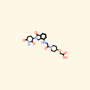 O=C(O)COC1CCN(C(=O)CNc2cccc3c2CN(C2CCC(=O)NC2=O)C3=O)CC1